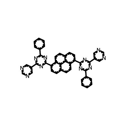 c1ccc(-c2nc(-c3cncnc3)nc(-c3ccc4ccc5c(-c6nc(-c7ccccc7)nc(-c7cncnc7)n6)ccc6ccc3c4c65)n2)cc1